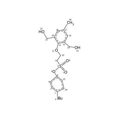 CCC(C)c1ccc(OS(=O)(=O)CCOc2c(CO)cc(C)cc2CO)cc1